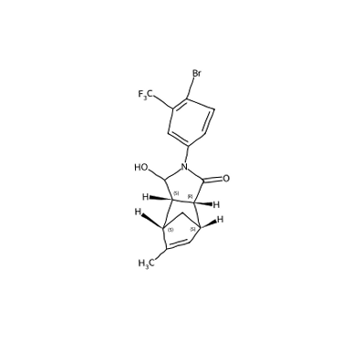 CC1=C[C@@H]2C[C@H]1[C@@H]1C(O)N(c3ccc(Br)c(C(F)(F)F)c3)C(=O)[C@@H]12